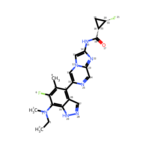 CCN(C)c1c(F)c(C)c(-c2cn3cc(NC(=O)[C@@H]4C[C@@H]4F)nc3cn2)c2cn[nH]c12